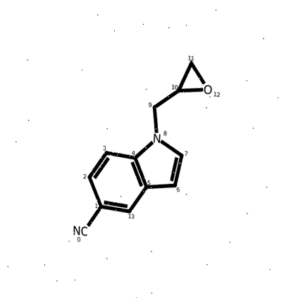 N#Cc1ccc2c(ccn2CC2CO2)c1